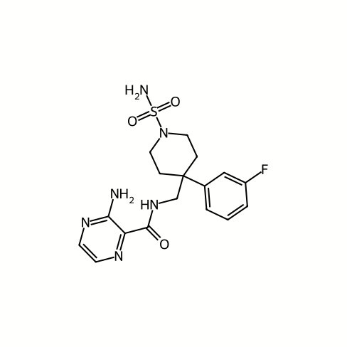 Nc1nccnc1C(=O)NCC1(c2cccc(F)c2)CCN(S(N)(=O)=O)CC1